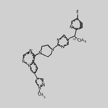 C[C@@H](c1cnc(N2CCN(c3ncnn4cc(-c5cnn(C)c5)cc34)CC2)nc1)c1c#cc(F)cn1